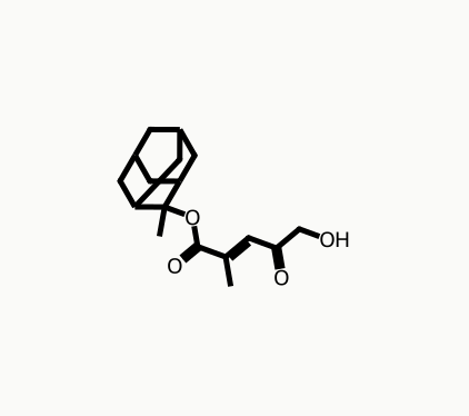 CC(=CC(=O)CO)C(=O)OC1(C)C2CC3CC(C2)CC1C3